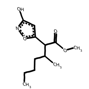 CCCCC(C)C(C(=O)OC)c1cc(O)no1